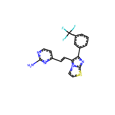 Nc1nccc(C=Cc2c(-c3cccc(C(F)(F)F)c3)nc3sccn23)n1